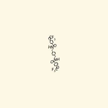 O=C(NCCc1ccc(CCNC(=O)c2ccc(OC(F)(F)F)cc2)cc1)c1ccc(OC(F)(F)F)cc1